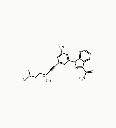 CC(=O)N(C)CC[C@@H](O)C#Cc1cc(C#N)cc(-n2nc(C(N)=O)c3cccnc32)c1